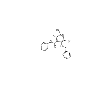 Cc1c(Br)nc(Br)c(OCc2ccccc2)c1C(=O)Oc1ccccc1